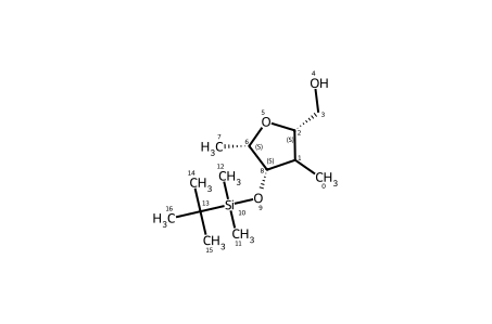 CC1[C@@H](CO)O[C@@H](C)[C@H]1O[Si](C)(C)C(C)(C)C